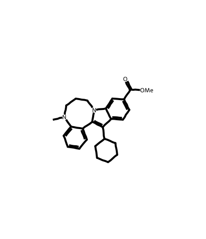 COC(=O)c1ccc2c(C3CCCCC3)c3n(c2c1)CCCN(C)c1ccccc1-3